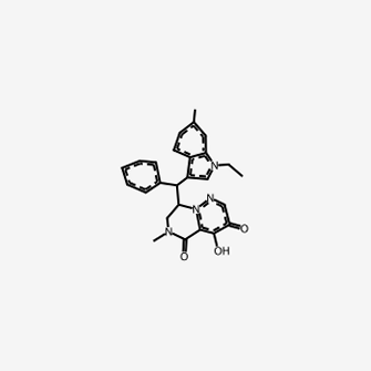 CCn1cc(C(c2ccccc2)C2CN(C)C(=O)c3c(O)c(=O)cnn32)c2ccc(C)cc21